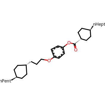 CCCCCCC[C@H]1CC[C@H](C(=O)Oc2ccc(OCCC[C@H]3CC[C@H](CCCCC)CC3)cc2)CC1